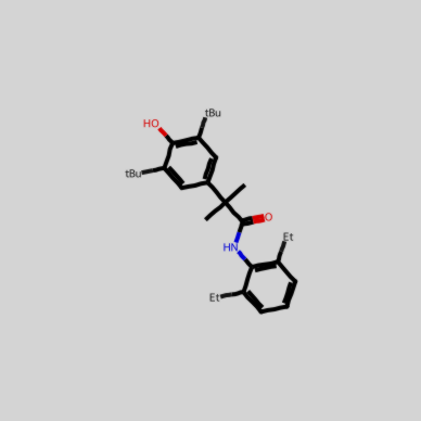 CCc1cccc(CC)c1NC(=O)C(C)(C)c1cc(C(C)(C)C)c(O)c(C(C)(C)C)c1